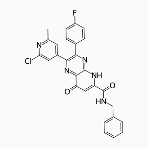 Cc1cc(-c2nc3c(=O)cc(C(=O)NCc4ccccc4)[nH]c3nc2-c2ccc(F)cc2)cc(Cl)n1